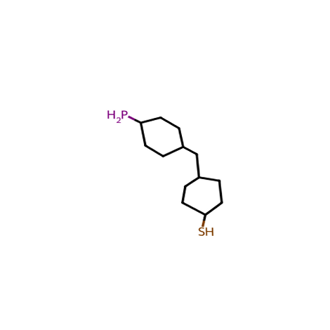 PC1CCC(CC2CCC(S)CC2)CC1